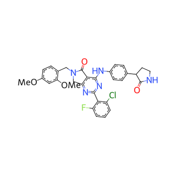 COc1ccc(CN2Cc3nc(-c4c(F)cccc4Cl)nc(Nc4ccc(C5CCNC5=O)cc4)c3C2=O)c(OC)c1